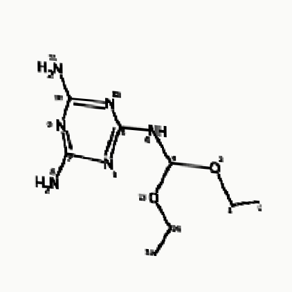 CCOC(Nc1nc(N)nc(N)n1)OCC